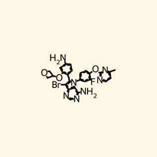 Cc1ccnc(Oc2ccc(-n3c(-c4ccc(N)cc4OC4COC4)c(Br)c4ncnc(N)c43)cc2F)n1